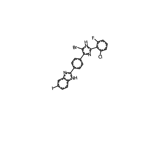 Fc1cccc(Cl)c1-c1nc(-c2ccc(-c3nc4cc(I)ccc4[nH]3)cc2)c(Br)[nH]1